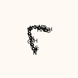 C[C@H]1CN(CC2CCN(c3ccc(C(=O)NC4CCC(=O)NC4=O)nc3)CC2)CCN1CC1CCN(c2ccc(NC(=O)C3CCN(c4ccc(C#N)c(C(F)(F)F)c4)CC3)nc2)CC1